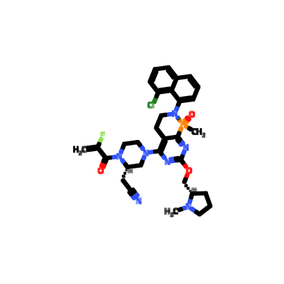 C=C(F)C(=O)N1CCN(c2nc(OC[C@@H]3CCCN3C)nc3c2CCN(c2cccc4cccc(Cl)c24)P3(C)=O)C[C@@H]1CC#N